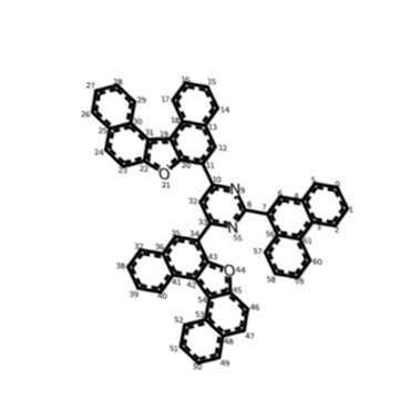 c1ccc2c(c1)cc(-c1nc(-c3cc4ccccc4c4c3oc3ccc5ccccc5c34)cc(-c3cc4ccccc4c4c3oc3ccc5ccccc5c34)n1)c1ccccc12